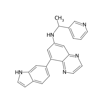 CC(Nc1cc(-c2ccc3cc[nH]c3c2)c2nccnc2c1)c1cccnc1